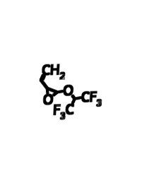 C=CC1OC1OC(C(F)(F)F)C(F)(F)F